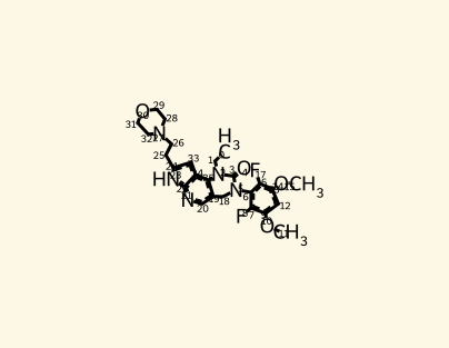 CCN1C(=O)N(c2c(F)c(OC)cc(OC)c2F)Cc2cnc3[nH]c(CCN4CCOCC4)cc3c21